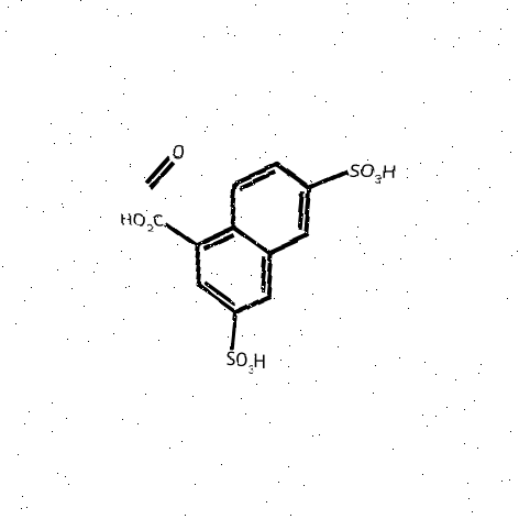 C=O.O=C(O)c1cc(S(=O)(=O)O)cc2cc(S(=O)(=O)O)ccc12